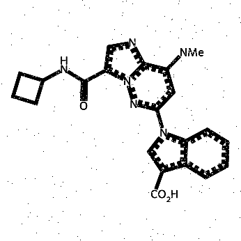 CNc1cc(-n2cc(C(=O)O)c3ccccc32)nn2c(C(=O)NC3CCC3)cnc12